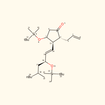 C=CC[C@H]1C(=O)CC(O[Si](C)(C)C(C)(C)C)[C@@H]1C=C[C@H](CC(C)CCCC)O[Si](C)(C)C(C)(C)C